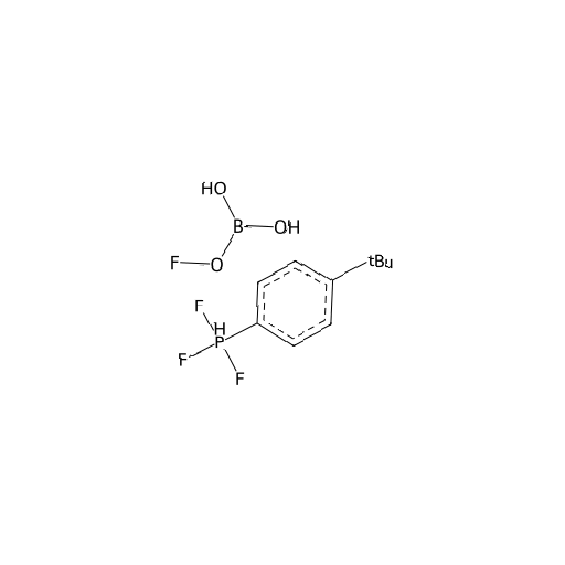 CC(C)(C)c1ccc([PH](F)(F)F)cc1.OB(O)OF